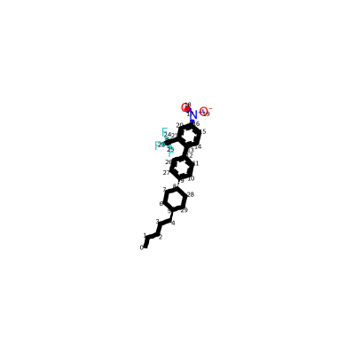 CCCCC[C@H]1CC[C@H](c2ccc(-c3ccc([N+](=O)[O-])cc3C(F)(F)F)cc2)CC1